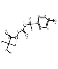 CCC(C)(C)C(=O)OCC(=O)OC(C)(C)c1ccc(Br)cc1